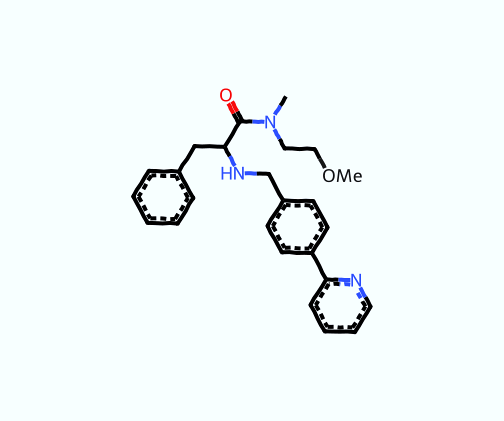 COCCN(C)C(=O)C(Cc1ccccc1)NCc1ccc(-c2ccccn2)cc1